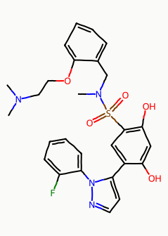 CN(C)CCOc1ccccc1CN(C)S(=O)(=O)c1cc(-c2ccnn2-c2ccccc2F)c(O)cc1O